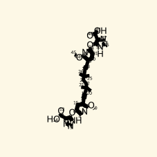 COc1ncc(Oc2[nH]nnc2C(=O)O)cc1C#CC(C)(C)CCC(C)(C)C#Cc1ccc(Oc2[nH]nnc2C(=O)O)nc1OC